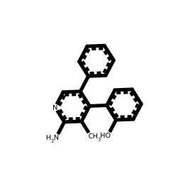 Cc1c(N)ncc(-c2ccccc2)c1-c1ccccc1O